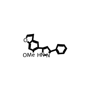 COc1cc2occc2cc1-c1cc(-c2ccccc2)n[nH]1